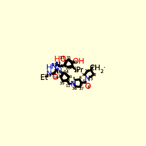 [CH2]C1CCN(C(=O)C2CCN(Cc3ccc(-n4c(C(=O)NCC)nnc4-c4cc(C(C)C)c(O)cc4O)cc3)CC2)CC1